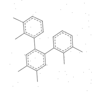 Cc1[c]c(-c2cccc(C)c2C)c(-c2cccc(C)c2C)[c]c1C